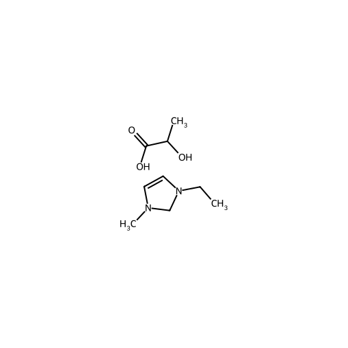 CC(O)C(=O)O.CCN1C=CN(C)C1